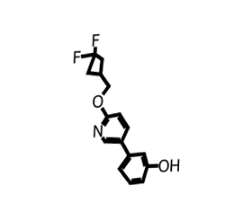 Oc1cccc(-c2ccc(OCC3CC(F)(F)C3)nc2)c1